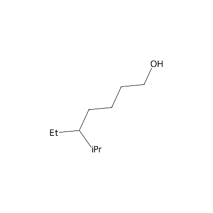 CCC(CCCCO)C(C)C